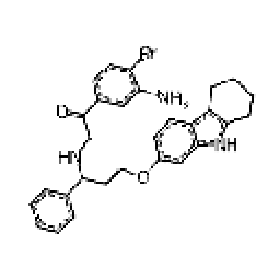 Nc1cc(C(=O)CNC(CCOc2ccc3c4c([nH]c3c2)CCCC4)c2ccccc2)ccc1Br